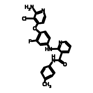 Cc1ccc(NC(=O)c2cccnc2Nc2ccc(Oc3ccnc(N)c3Cl)c(F)c2)cc1